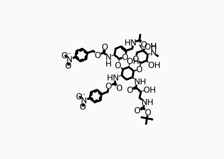 CN[C@@H]1[C@@H](O)[C@@H](O[C@@H]2[C@@H](O)[C@H](O[C@H]3OC(CNC(C)=O)=CC[C@H]3NC(=O)OCc3ccc([N+](=O)[O-])cc3)[C@@H](NC(=O)OCc3ccc([N+](=O)[O-])cc3)C[C@H]2NC(=O)[C@H](O)CNC(=O)OC(C)(C)C)OC[C@]1(C)O